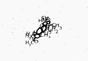 C=C(C)[C@@H]1CC[C@]2(C(=O)NC)CC[C@]3(C)[C@H](CCC4[C@@]5(C)CCC(OC(C)=O)C(C)(C)[C@@H]5CC[C@]43C)[C@@H]12